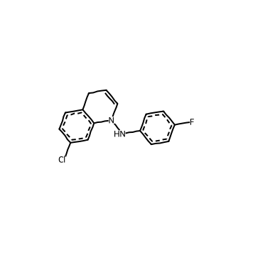 Fc1ccc(NN2C=CCc3ccc(Cl)cc32)cc1